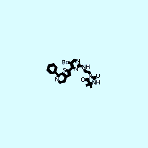 CC1(C)NC(=O)N(CCNc2ncc(Br)c(-c3cc4c(s3)C(c3ccccc3)=NCC4)n2)C1=O